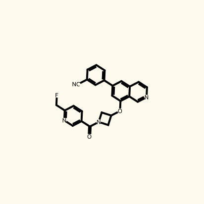 N#Cc1cccc(-c2cc(OC3CN(C(=O)c4ccc(CF)nc4)C3)c3cnccc3c2)c1